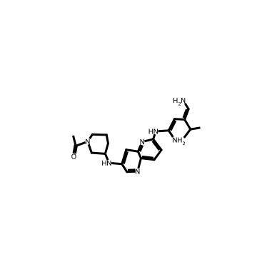 CC(=O)N1CCCC(Nc2cnc3ccc(N/C(N)=C/C(=C\N)C(C)C)nc3c2)C1